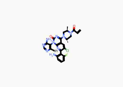 C=CC(=O)N1C[C@H](C)N(c2nc(=O)n(-c3c(N)ncnc3C(C)C)c3nc(-c4c(N)cccc4F)c(Cl)cc23)C[C@H]1C